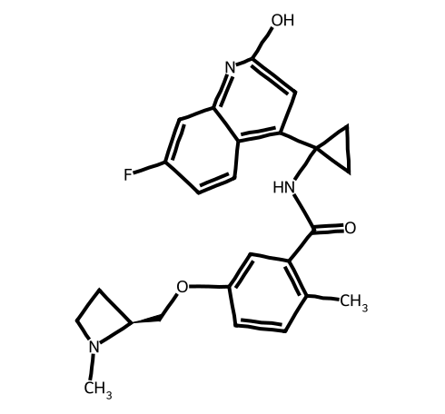 Cc1ccc(OC[C@@H]2CCN2C)cc1C(=O)NC1(c2cc(O)nc3cc(F)ccc23)CC1